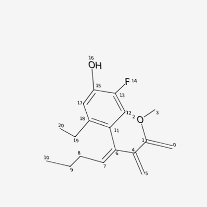 C=C(OC)C(=C)/C(=C/CCC)c1cc(F)c(O)cc1CC